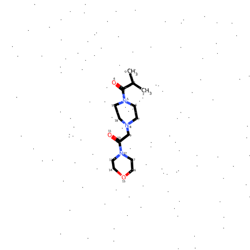 CC(C)C(=O)N1CCN(CC(=O)N2CCOCC2)CC1